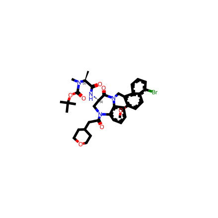 COc1ccc2c(Br)cccc2c1CN1C(=O)[C@@H](NC(=O)[C@H](C)N(C)C(=O)OC(C)(C)C)CN(C(=O)CC2CCOCC2)c2ccccc21